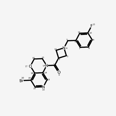 O=C(C1CN(Cc2cccc(F)c2)C1)N1CCOc2c(Br)cncc21